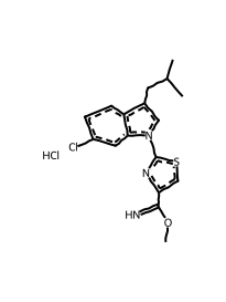 COC(=N)c1csc(-n2cc(CC(C)C)c3ccc(Cl)cc32)n1.Cl